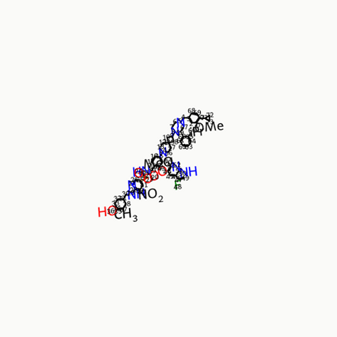 COc1cc(CN2CCN(C3CC4(CCN(c5ccc(C(=O)NS(=O)(=O)c6cnc(NCC7CCC(C)(O)CC7)c([N+](=O)[O-])c6)c(Oc6cc7c(F)c[nH]c7nc6OC)c5)CC4)C3)[C@H](c3ccccc3C(C)C)C2)ccc1C1CC1